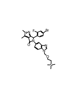 Cc1c2c(nn1C)C(c1ccc(Br)cc1F)N(c1ccc3c(c1)ncn3COCC[Si](C)(C)C)C2=O